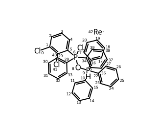 Clc1cccc(P(Cl)(O[PH](c2ccccc2)(c2ccccc2)c2ccccc2)(c2ccccc2)c2ccccc2)c1Cl.[Re]